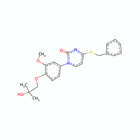 COc1cc(-n2ccc(SCc3ccccc3)nc2=O)ccc1OCC(C)(C)O